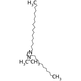 CCCCCCCCCCCCCCCCCCN1C=CN(C(C)C)C1CCCCCCCCCCC